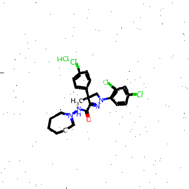 CC1(c2ccc(Cl)cc2)CN(c2ccc(Cl)cc2Cl)N=C1C(=O)NN1CCCCCC1.Cl